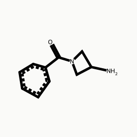 NC1CN(C(=O)c2ccccc2)C1